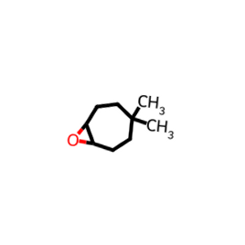 CC1(C)CCC2OC2CC1